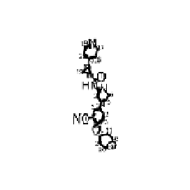 N#Cc1cc(-c2ccnc(NC(=O)[C@@H]3C[C@H]3c3ccncc3)c2)ccc1OC1CCOCC1